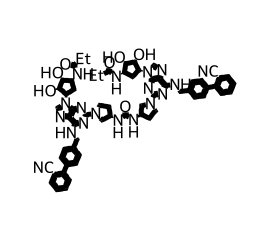 CCC(=O)N[C@H]1C[C@@H](n2cnc3c(NCc4ccc(-c5ccccc5C#N)cc4)nc(N4CC[C@@H](NC(=O)N[C@H]5CCN(c6nc(NCc7ccc(-c8ccccc8C#N)cc7)c7ncn([C@@H]8C[C@H](NC(=O)CC)[C@@H](O)[C@H]8O)c7n6)C5)C4)nc32)[C@H](O)[C@@H]1O